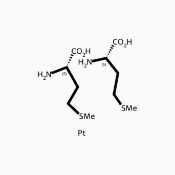 CSCC[C@H](N)C(=O)O.CSCC[C@H](N)C(=O)O.[Pt]